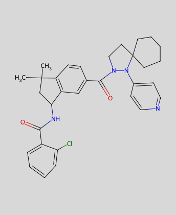 CC1(C)CC(NC(=O)c2ccccc2Cl)c2cc(C(=O)N3CCC4(CCCCC4)N3c3ccncc3)ccc21